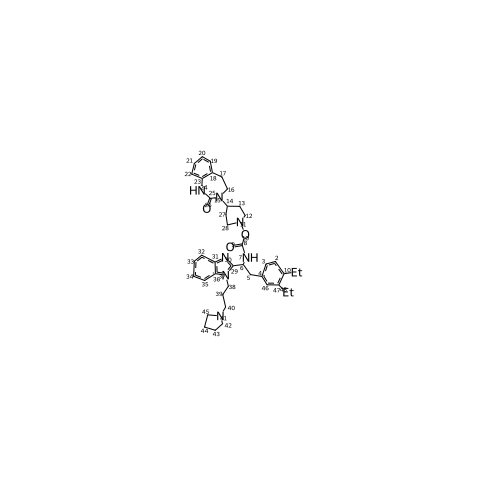 CCc1ccc(CC(NC(=O)ON2CCC(N3CCc4ccccc4NC3=O)CC2)c2nc3ccccc3n2CCCN2CCCC2)cc1CC